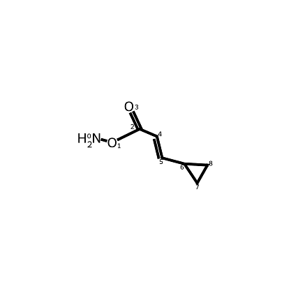 NOC(=O)C=CC1CC1